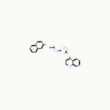 O=C(COc1ccc2ccccc2c1)Nc1nnc(Sc2ccnc3ccccc23)s1